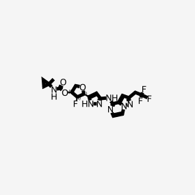 CC1(NC(=O)O[C@H]2CO[C@@H](c3cc(Nc4nccn5nc(CC(F)(F)F)cc45)n[nH]3)[C@@H]2F)CC1